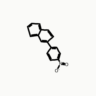 O=[N+]([O-])c1ccc(-c2ccc3ccccc3c2)cc1